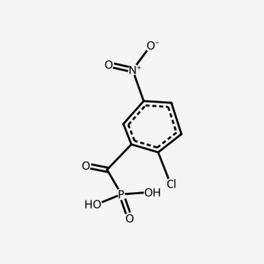 O=C(c1cc([N+](=O)[O-])ccc1Cl)P(=O)(O)O